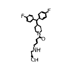 C#CCNC/C=C/C(=O)N1CCC(=C(c2ccc(F)cc2)c2ccc(F)cc2)CC1